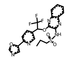 CCCS(=O)(=O)Nc1nc2ccccc2nc1OC(c1ccc(-c2cnco2)nc1)C(F)(F)F